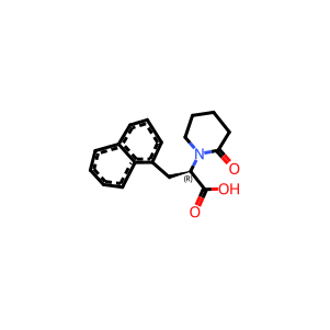 O=C(O)[C@@H](Cc1cccc2ccccc12)N1CCCCC1=O